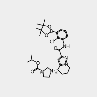 CC(C)OC(=O)[C@@H]1CCN([C@H]2CCCn3nc(C(=O)Nc4cccc(B5OC(C)(C)C(C)(C)O5)c4Cl)cc32)C1